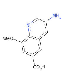 COc1cc(C(=O)O)cc2cc(N)cnc12